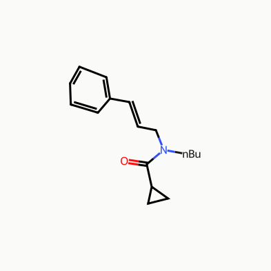 CCCCN(C/C=C/c1ccccc1)C(=O)C1CC1